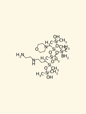 B[Si](C)(C)O[Si](CN1CCOCC1)(O[Si](C)(C)O)O[Si](C)(C)O[Si](C)(CCCNCCN)O[Si](C)(C)O